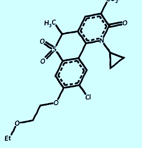 CCOCCOc1cc2c(cc1Cl)-c1c(cc(C(=O)O)c(=O)n1C1CC1)C(C)S2(=O)=O